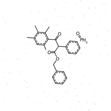 Cc1cc(C)c(C(=O)C(C(=O)OCc2ccccc2)c2ccccc2)c(C)c1C.O=[PH3]